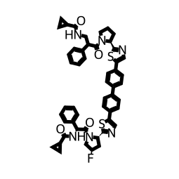 O=C(NCC(C(=O)N1CCC[C@H]1c1ncc(-c2ccc(-c3ccc(-c4cnc([C@@H]5C[C@H](F)CN5C(=O)[C@H](NC(=O)C5CC5)c5ccccc5)s4)cc3)cc2)s1)c1ccccc1)C1CC1